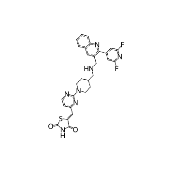 O=C1NC(=O)/C(=C/c2ccnc(N3CCC(CNCc4cc5ccccc5nc4-c4cc(F)nc(F)c4)CC3)n2)S1